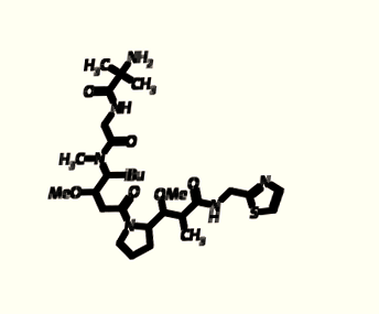 CCC(C)C(C(CC(=O)N1CCCC1C(OC)C(C)C(=O)NCc1nccs1)OC)N(C)C(=O)CNC(=O)C(C)(C)N